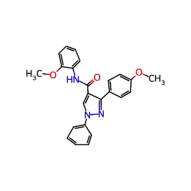 COc1ccc(-c2nn(-c3ccccc3)cc2C(=O)Nc2ccccc2OC)cc1